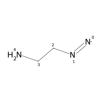 [N]=NCCN